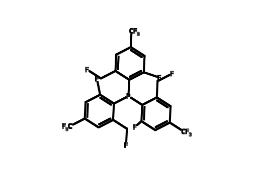 FCc1cc(C(F)(F)F)cc(F)c1P(c1c(F)cc(C(F)(F)F)cc1CF)c1c(F)cc(C(F)(F)F)cc1CF